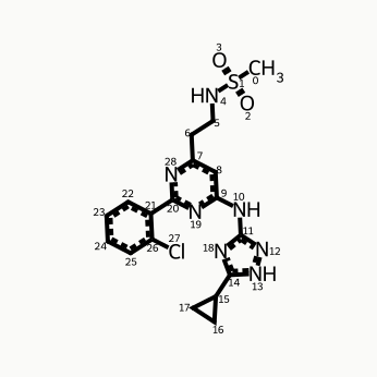 CS(=O)(=O)NCCc1cc(Nc2n[nH]c(C3CC3)n2)nc(-c2ccccc2Cl)n1